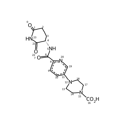 O=C1CC[C@H](NC(=O)c2ccc(N3CCN(C(=O)O)CC3)cn2)C(=O)N1